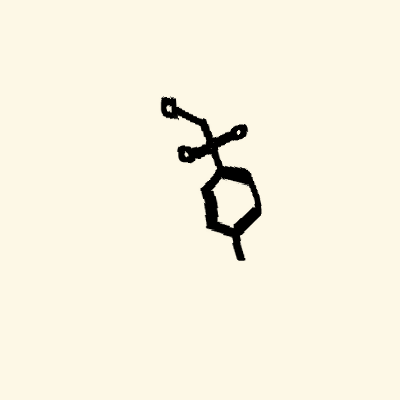 Cc1ccc(S(=O)(=O)CCl)cc1